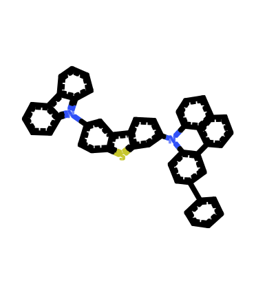 c1ccc(-c2ccc(N(c3ccccc3)c3ccc4c(c3)sc3ccc(-n5c6ccccc6c6ccccc65)cc34)c(-c3ccccc3)c2)cc1